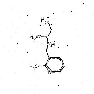 C=C(CC)NCc1cccnc1C